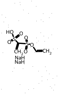 C=COS(=O)(=O)C(=C)S(=O)(=O)O.[NaH].[NaH]